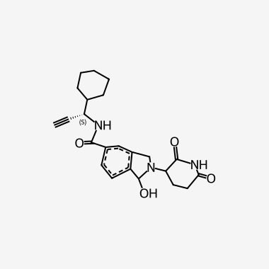 C#C[C@@H](NC(=O)c1ccc2c(c1)CN(C1CCC(=O)NC1=O)C2O)C1CCCCC1